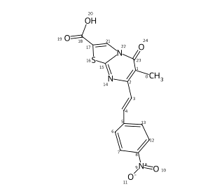 Cc1c(/C=C/c2ccc([N+](=O)[O-])cc2)nc2sc(C(=O)O)cn2c1=O